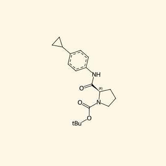 CC(C)(C)OC(=O)N1CCC[C@@H]1C(=O)Nc1ccc(C2CC2)cc1